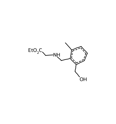 CCOC(=O)CNCc1c(C)cccc1CO